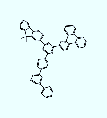 CC1(C)c2ccccc2-c2ccc(-c3nc(-c4ccc(-c5cccc(-c6ccccc6)c5)cc4)nc(-c4ccc5c6ccccc6c6ccccc6c5c4)n3)cc21